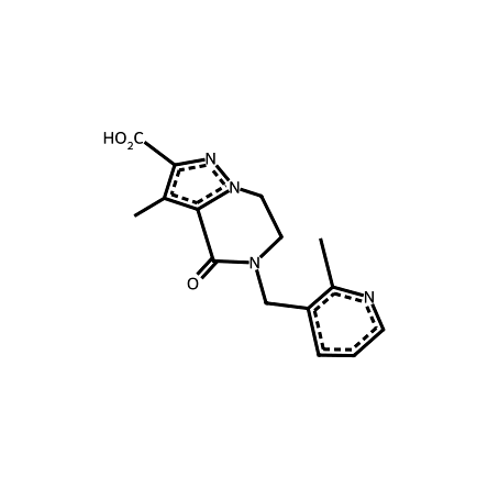 Cc1ncccc1CN1CCn2nc(C(=O)O)c(C)c2C1=O